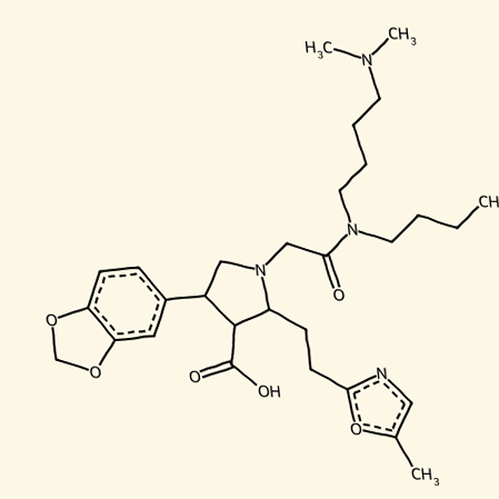 CCCCN(CCCCN(C)C)C(=O)CN1CC(c2ccc3c(c2)OCO3)C(C(=O)O)C1CCc1ncc(C)o1